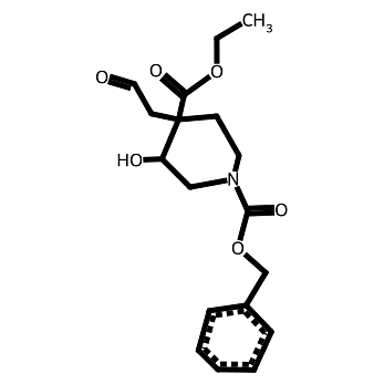 CCOC(=O)C1(CC=O)CCN(C(=O)OCc2ccccc2)CC1O